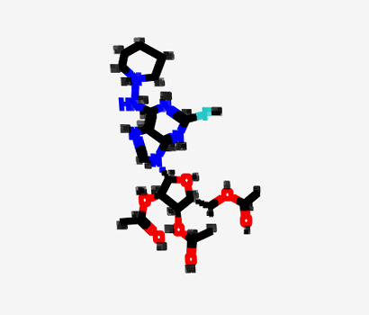 CC(=O)OC[C@H]1O[C@@H](n2cnc3c(NN4CCCCC4)nc(F)nc32)[C@H](OC(C)=O)[C@@H]1OC(C)=O